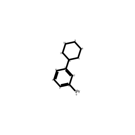 CC(C)c1cc[c]c(C2CCCCC2)c1